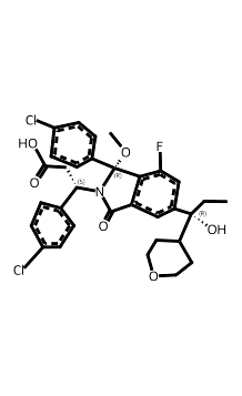 CC[C@](O)(c1cc(F)c2c(c1)C(=O)N([C@@H](CC(=O)O)c1ccc(Cl)cc1)[C@@]2(OC)c1ccc(Cl)cc1)C1CCOCC1